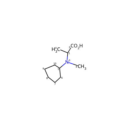 CC(C(=O)O)N(C)C1CCCCC1